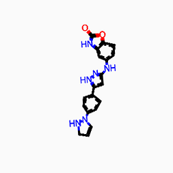 O=c1[nH]c2cc(Nc3cc(-c4ccc(N5C=CCN5)cc4)[nH]n3)ccc2o1